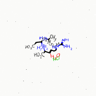 CC(N)C(=O)O.Cl.N=C(N)NCCCC(N)C(=O)O.NC(CC(=O)O)C(=O)O.O